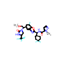 COCC(c1cc(F)c2oc(C(NC(=O)c3ccnn3C)C3CCC(F)(F)CC3)nc2c1)N1CC(C(F)(F)F)NC1=O